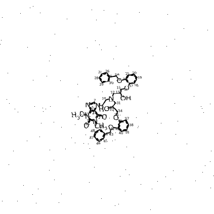 Cn1c(=O)c2c(ncn2CCN(CC(O)COc2ccccc2OCc2ccccc2)CC(O)COc2ccccc2OCc2ccccc2)n(C)c1=O